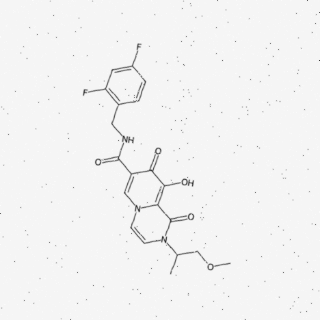 COCC(C)n1ccn2cc(C(=O)NCc3ccc(F)cc3F)c(=O)c(O)c2c1=O